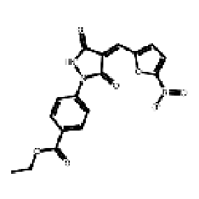 CCOC(=O)c1ccc(N2NC(=O)C(=Cc3ccc([N+](=O)[O-])o3)C2=O)cc1